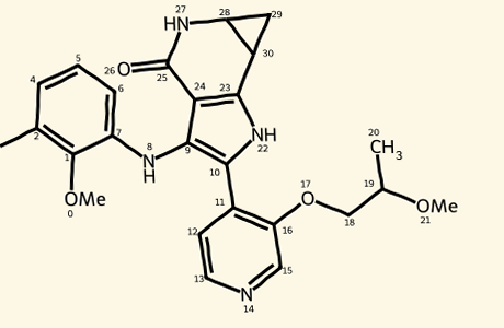 COc1c(Cl)cccc1Nc1c(-c2ccncc2OCC(C)OC)[nH]c2c1C(=O)NC1CC21